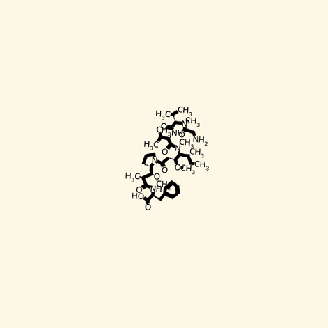 CC[C@H](C)[C@@H]([C@@H](CC(=O)N1CCC[C@H]1[C@H](OC)[C@@H](C)C(=O)N[C@@H](Cc1ccccc1)C(=O)O)OC)N(C)C(=O)[C@@H](NC(=O)[C@H](C(C)C)N(C)C(=O)CN)C(C)C